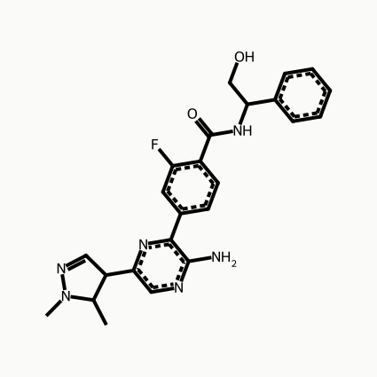 CC1C(c2cnc(N)c(-c3ccc(C(=O)NC(CO)c4ccccc4)c(F)c3)n2)C=NN1C